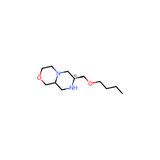 CCCCOC[C@@H]1CN2CCOCC2CN1